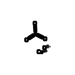 O=S(=O)=O.[Ca+2].[O-2]